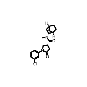 CN(C(=O)[C@@H]1CC(=O)N(c2cccc(Cl)c2)C1)[C@@H]1C[C@@H]2CC[C@H]1C2